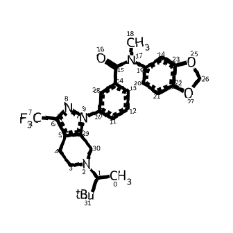 CC(N1CCc2c(C(F)(F)F)nn(-c3cccc(C(=O)N(C)c4ccc5c(c4)OCO5)c3)c2C1)C(C)(C)C